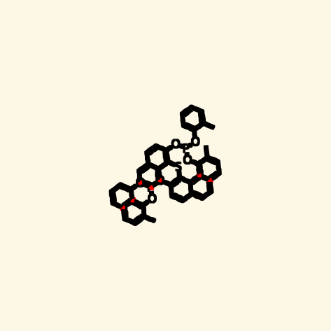 Cc1ccccc1OP(Oc1ccccc1C)Oc1ccc2ccccc2c1Sc1c(OP(Oc2ccccc2C)Oc2ccccc2C)ccc2ccccc12